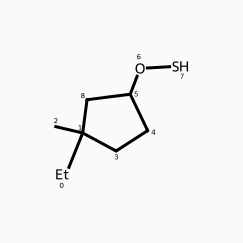 CCC1(C)CCC(OS)C1